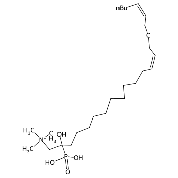 CCCC/C=C\CCC/C=C\CCCCCCCCCCC(O)(C[N+](C)(C)C)P(=O)(O)O